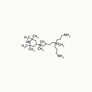 CC1(C)CC([N+](C)(C)CCCC[N+](C)(CCCN)CCCN)CC(C)(C)N1